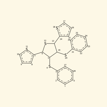 c1ccc(SC2C(c3cccs3)SC(c3cccs3)C2Sc2ccccc2)cc1